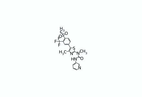 Cc1nc(N(C)C(=O)Nc2cccnc2)sc1-c1ccc(S(C)(=O)=O)c(C(F)(F)F)c1